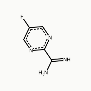 N=C(N)c1ncc(F)cn1